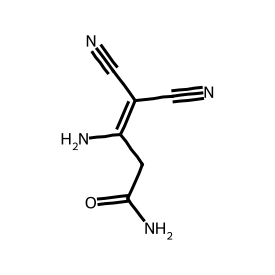 N#CC(C#N)=C(N)CC(N)=O